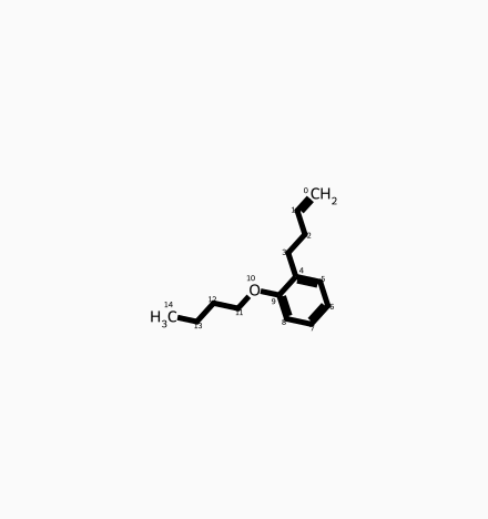 C=CCCc1ccccc1OCCCC